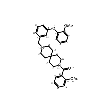 COc1ccccc1Oc1cccc(CN2CCC3(CC2)CCN(C(=O)c2ccccc2OC(C)=O)CC3)c1